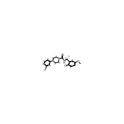 COc1ccc(Cl)c([C@@H](C)NC(=O)N2CCN(c3ccnc(F)c3)CC2)c1